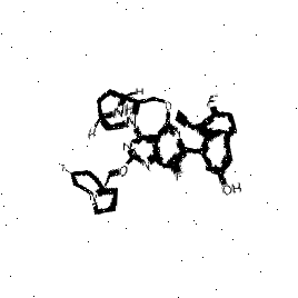 C#Cc1c(F)ccc2cc(O)cc(-c3nc4c5c(nc(OC[C@@]67CCCN6C[C@H](F)C7)nc5c3F)N3C[C@@H]5CC[C@@H](N5)C3CO4)c12